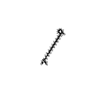 CCN(CC)CCCCCCCCCCCCCCCCCCc1ccccc1C